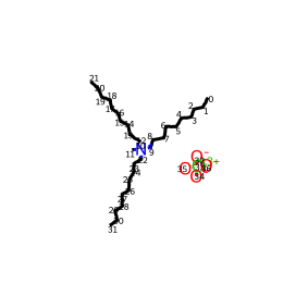 CCCCCCCCCC[N+](C)(CCCCCCCCCC)CCCCCCCCCC.[O-][Cl+3]([O-])([O-])[O-]